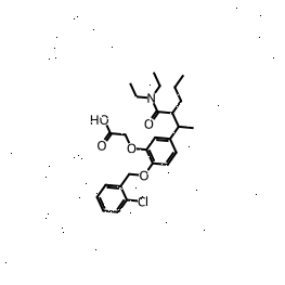 CCCC(C(=O)N(CC)CC)C(C)c1ccc(OCc2ccccc2Cl)c(OCC(=O)O)c1